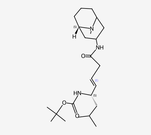 CC(C)C[C@@H](/C=C/CC(=O)NC1CC2CCC[C@@H](C1)N2C)NC(=O)OC(C)(C)C